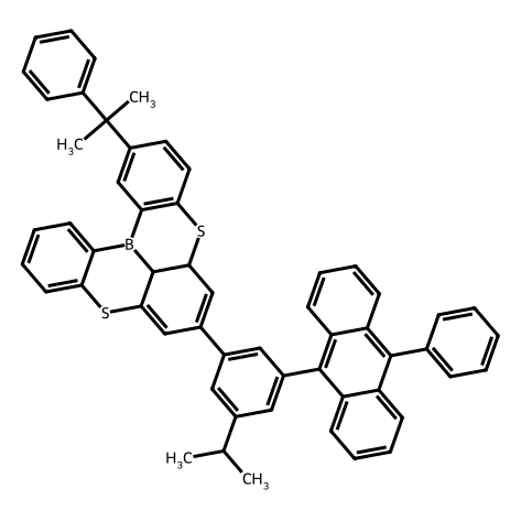 CC(C)c1cc(C2=CC3Sc4ccc(C(C)(C)c5ccccc5)cc4B4c5ccccc5SC(=C2)C43)cc(-c2c3ccccc3c(-c3ccccc3)c3ccccc23)c1